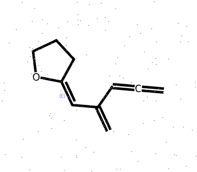 C=C=CC(=C)/C=C1\CCCO1